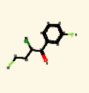 O=C(c1cccc(F)c1)C(Cl)CCF